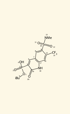 CCC(C)OP(=O)(O)c1cc2cc(S(=O)(=O)NC)c(C(F)(F)F)cc2[nH]c1=O